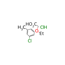 CCOCC(=O)O.Cc1cccc(Cl)c1.Cl